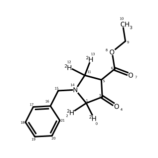 [2H]C1([2H])C(=O)C(C(=O)OCC)C([2H])([2H])N1Cc1ccccc1